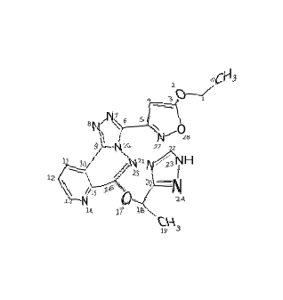 CCOc1cc(-c2nnc3c4cccnc4c(OC(C)c4nc[nH]n4)nn23)no1